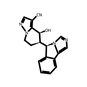 N#Cc1cnn2c1[C@@H](O)[C@@H]([C@@H]1c3ccccc3-c3cncn31)CC2